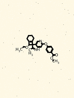 CCOC1C2=C(CCCC2)C1(C(C)=N)c1ccc(Oc2ccc(C(=O)OC)cc2)nc1